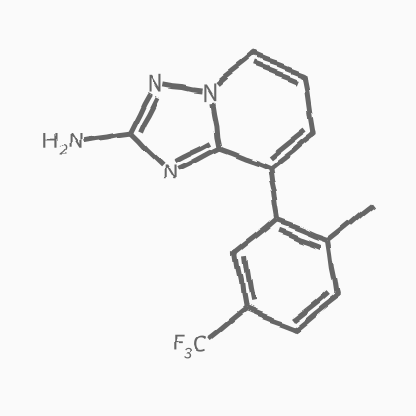 Cc1ccc(C(F)(F)F)cc1-c1cccn2nc(N)nc12